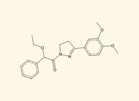 CCOC(C(=O)N1CCC(c2ccc(OC)c(OC)c2)=N1)c1ccccc1